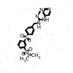 CN(C)S(=O)(=O)c1cccc(S(=O)(=O)c2ccc(CNC(=NC#N)Nc3ccncc3)cc2)c1